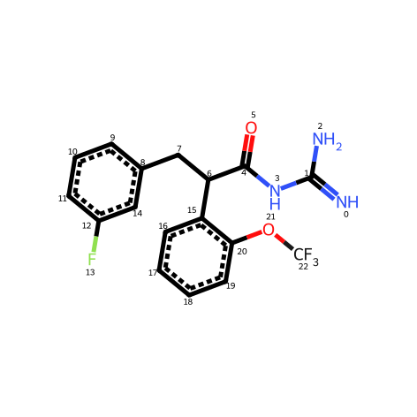 N=C(N)NC(=O)C(Cc1cccc(F)c1)c1ccccc1OC(F)(F)F